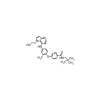 Cc1cc(Nc2ncnc3ccn(CCO)c23)ccc1Oc1ccc(C(=O)NCC(C)(C)C)nc1